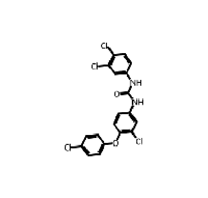 O=C(Nc1ccc(Cl)c(Cl)c1)Nc1ccc(Oc2ccc(Cl)cc2)c(Cl)c1